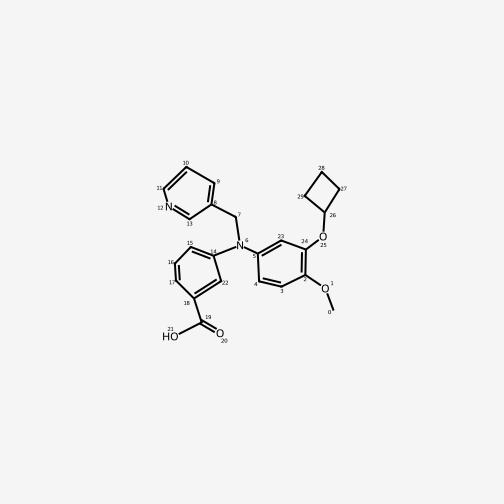 COc1ccc(N(Cc2cccnc2)c2cccc(C(=O)O)c2)cc1OC1CCC1